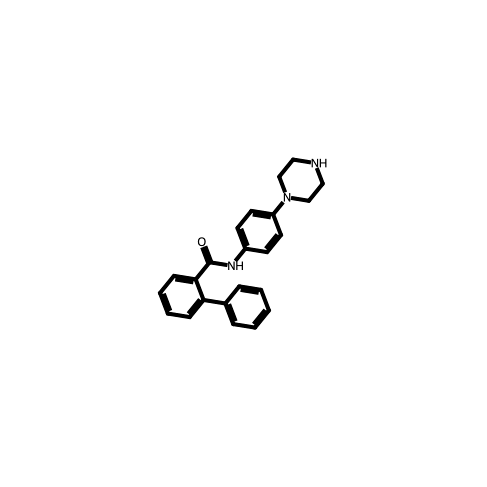 O=C(Nc1ccc(N2CCNCC2)cc1)c1ccccc1-c1ccccc1